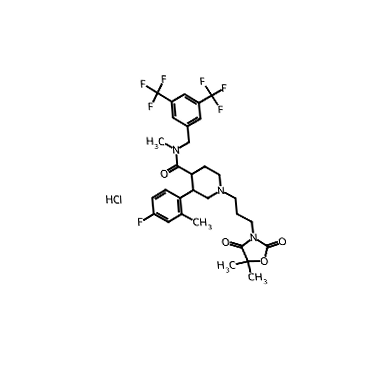 Cc1cc(F)ccc1C1CN(CCCN2C(=O)OC(C)(C)C2=O)CCC1C(=O)N(C)Cc1cc(C(F)(F)F)cc(C(F)(F)F)c1.Cl